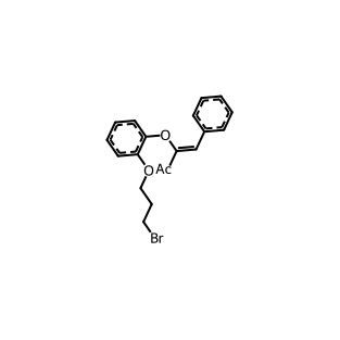 CC(=O)C(=Cc1ccccc1)Oc1ccccc1OCCCBr